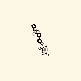 CCNC(=O)Nc1nc2cc(-c3ccc4ncn(Cc5ccccc5)c(=O)c4c3)ccc2s1